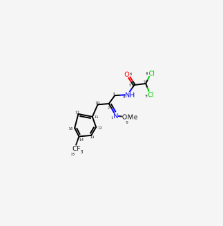 CON=C(CNC(=O)C(Cl)Cl)Cc1ccc(C(F)(F)F)cc1